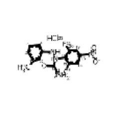 Cc1cccc(NN(C(N)=O)c2c(C)cc([N+](=O)[O-])cc2F)c1.Cl